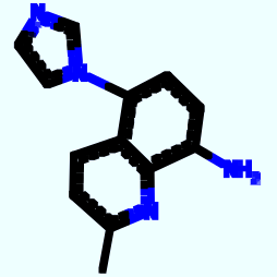 Cc1ccc2c(-n3ccnc3)ccc(N)c2n1